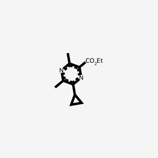 CCOC(=O)c1nc(C2CC2)c(C)nc1C